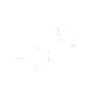 Cc1noc(-c2ncc[nH]2)n1